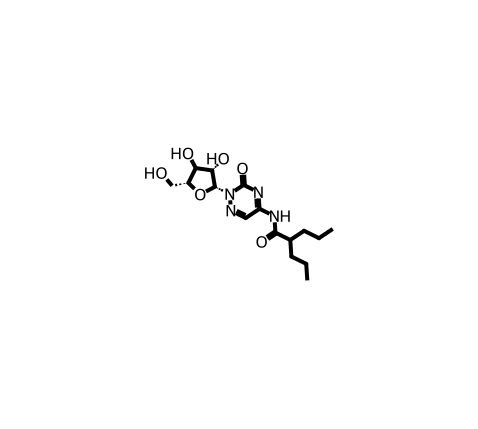 CCCC(CCC)C(=O)Nc1cnn([C@@H]2O[C@H](CO)C(O)[C@@H]2O)c(=O)n1